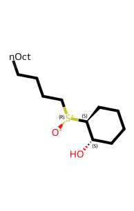 CCCCCCCCCCCC[S@+]([O-])[C@H]1CCCC[C@@H]1O